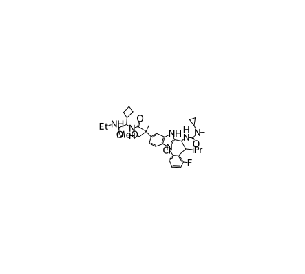 CCNC(=O)C(NC(=O)C(C)(COC)c1ccc2nc(C(NC(=O)N(C)C3CC3)C(c3c(F)cccc3Cl)C(C)C)[nH]c2c1)C1CCC1